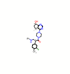 CC(C)NC[C@@H](C(=O)N1CCN(c2ncnc3c2[C@H](C)C[C@H]3O)CC1)c1ccc(C(F)(F)F)c(F)c1